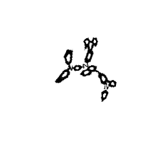 c1ccc(N(c2ccccc2)c2ccc(N(c3ccc4c5ccccc5c5ccccc5c4c3)c3ccc(-c4ccc5c(c4)c4ccccc4n5-c4ccccc4)c4ccccc34)cc2)cc1